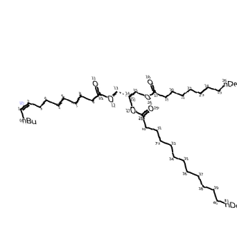 CCCC/C=C\CCCCCCCC(=O)OC[C@H](COC(=O)CCCCCCCCCCCCCCCCC)OC(=O)CCCCCCCCCCCCCCCCCCCCC